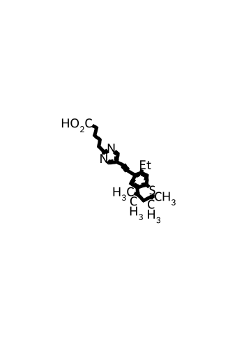 CCc1cc2c(cc1C#Cc1cnc(CCCCC(=O)O)nc1)C(C)(C)CC(C)(C)S2